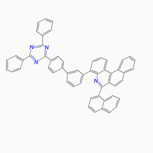 c1ccc(-c2nc(-c3ccccc3)nc(-c3ccc(-c4cccc(-c5cccc6c5nc(-c5cccc7ccccc57)c5ccc7ccccc7c56)c4)cc3)n2)cc1